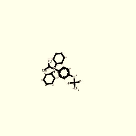 FC(F)(F)C(F)(F)Oc1ccc([PH]([CH](Cl)[Pd])(C2CCCCC2)C2CCCCC2)cc1